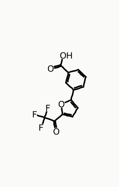 O=C(O)c1cccc(-c2ccc(C(=O)C(F)(F)F)o2)c1